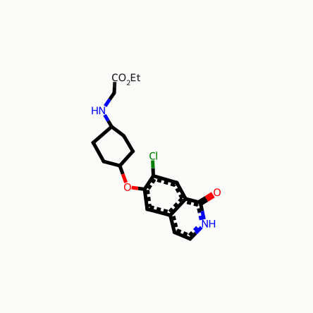 CCOC(=O)CNC1CCC(Oc2cc3cc[nH]c(=O)c3cc2Cl)CC1